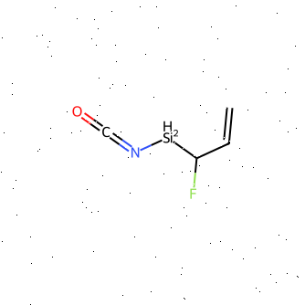 C=CC(F)[SiH2]N=C=O